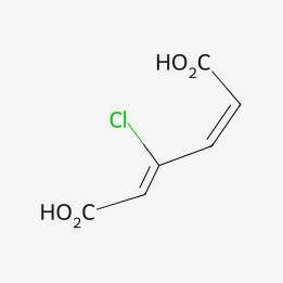 O=C(O)/C=C\C(Cl)=C\C(=O)O